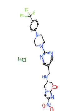 Cl.O=[N+]([O-])c1cn2c(n1)OCC(NCc1cnc(N3CCN(c4ccc(C(F)(F)F)cc4)CC3)nc1)C2